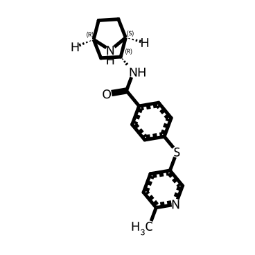 Cc1ccc(Sc2ccc(C(=O)N[C@@H]3C[C@H]4CC[C@@H]3N4)cc2)cn1